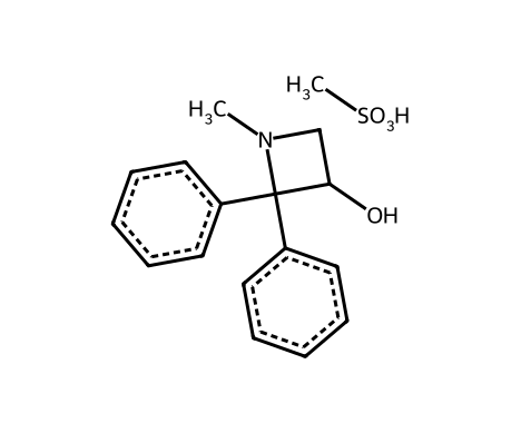 CN1CC(O)C1(c1ccccc1)c1ccccc1.CS(=O)(=O)O